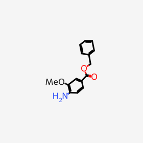 COc1cc(C(=O)OCc2ccccc2)ccc1N